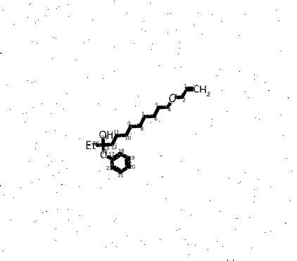 C=CCOCCCCCCCCCC(O)(CC)Oc1ccccc1